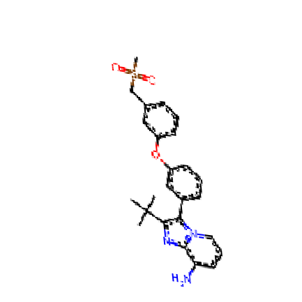 CC(C)(C)c1nc2c(N)cccn2c1-c1cccc(Oc2cccc(CS(C)(=O)=O)c2)c1